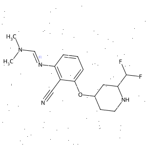 CN(C)/C=N/c1cccc(OC2CCNC(C(F)F)C2)c1C#N